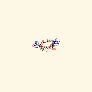 CCC(CCCC(=O)OC[C@H]1O[C@@H](n2cnc3c(=O)[nH]c(N)nc32)[C@H](O)[C@@H]1OC(=O)C(C)CCCC(=O)OC[C@H]1O[C@@H](n2cnc3c(=O)[nH]c(N)nc32)[C@H](O)[C@@H]1O)C(=O)O